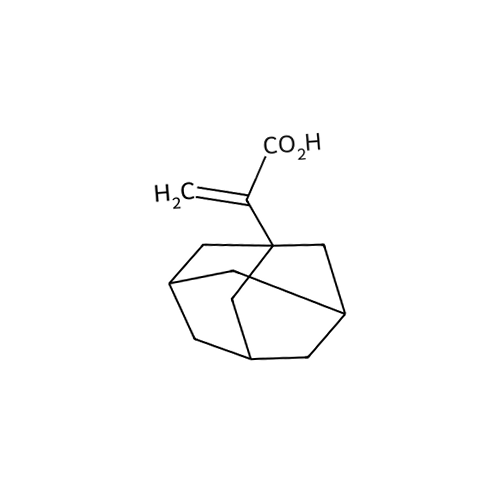 C=C(C(=O)O)C12CC3CC(CC(C3)C1)C2